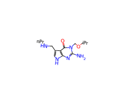 CCCNCc1c[nH]c2nc(N)n(COC(C)C)c(=O)c12